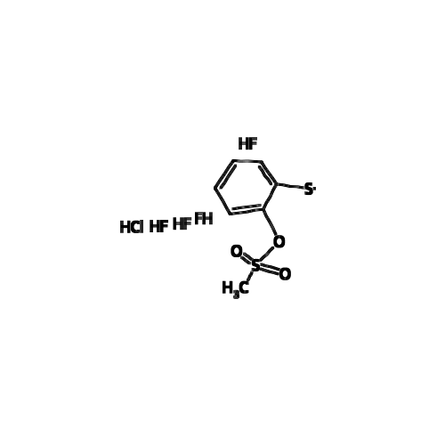 CS(=O)(=O)Oc1ccccc1[S].Cl.F.F.F.F